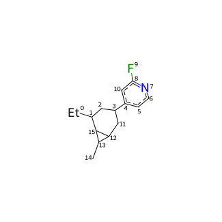 CCC1CC(c2ccnc(F)c2)CC2C(C)C12